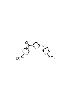 CCOC1CCN(C(=O)C2CCN(Cc3cnc(N)nc3)CC2)CC1